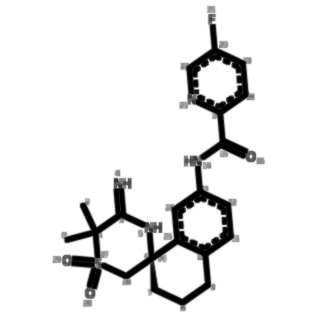 CC1(C)C(=N)N[C@@]2(CCCc3ccc(NC(=O)c4ccc(F)cn4)cc32)CS1(=O)=O